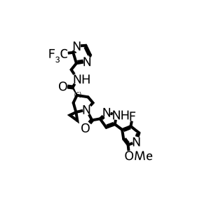 COc1cc(-c2cc(C(=O)N3CC[C@H](C(=O)NCc4nccnc4C(F)(F)F)CC34CC4)n[nH]2)c(F)cn1